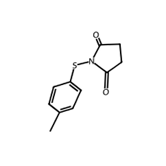 Cc1ccc(SN2C(=O)CCC2=O)cc1